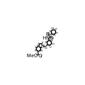 COC(=O)c1ccc2ccn(Cc3cccc(NS(=O)(=O)c4ccccc4)c3)c2c1